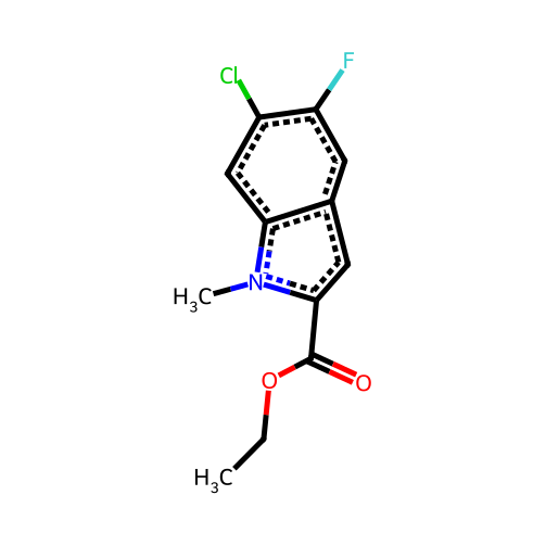 CCOC(=O)c1cc2cc(F)c(Cl)cc2n1C